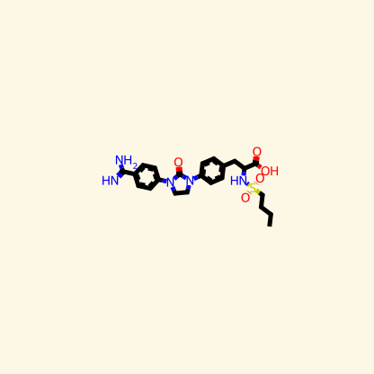 CCCCS(=O)(=O)NC(Cc1ccc(N2CCN(c3ccc(C(=N)N)cc3)C2=O)cc1)C(=O)O